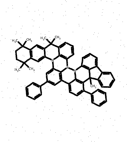 CC1(C)CCC(C)(C)c2cc3c(cc21)N1c2cc(-c4ccccc4)cc4c2B(c2cccc(c21)C3(C)C)N1c2cccc3c2C(C)(c2ccccc2-3)c2c(-c3ccccc3)ccc-4c21